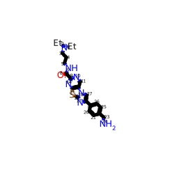 CCN(CC)CCCNC(=O)c1ncc2c(n1)sc1nc(-c3ccc(CN)cc3)cn12